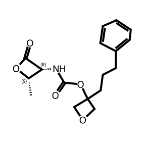 C[C@@H]1OC(=O)[C@@H]1NC(=O)OC1(CCCc2ccccc2)COC1